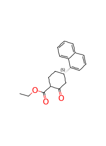 CCOC(=O)C1CC[C@H](c2cccc3ccccc23)CC1=O